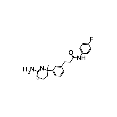 CC1(c2cccc(CCC(=O)Nc3ccc(F)cc3)c2)CCSC(N)=N1